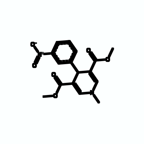 COC(=O)C1=CN(C)C=C(C(=O)OC)C1c1cccc([N+](=O)[O-])c1